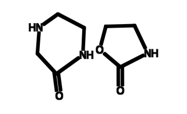 O=C1CNCCN1.O=C1NCCO1